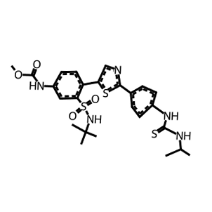 COC(=O)Nc1ccc(-c2cnc(-c3ccc(NC(=S)NC(C)C)cc3)s2)c(S(=O)(=O)NC(C)(C)C)c1